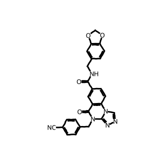 N#Cc1ccc(Cn2c(=O)c3cc(C(=O)NCc4ccc5c(c4)OCO5)ccc3n3cnnc23)cc1